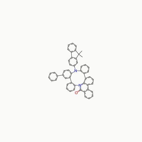 CC1(C)c2ccccc2-c2ccc(N3c4ccc(-c5ccccc5)cc4-c4ccccc4-n4c(=O)c5ccccc5c5cccc(c54)-c4ccccc43)cc21